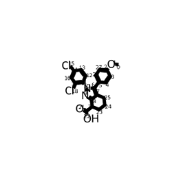 COc1ccc(-c2c3c(nn2-c2ccc(Cl)cc2Cl)C(C(=O)O)CCC3)cc1